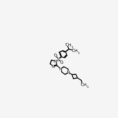 CCC1CC(N2CCN(C3=NCCN3S(=O)(=O)c3ccc(C(C)C)cc3)CC2)C1